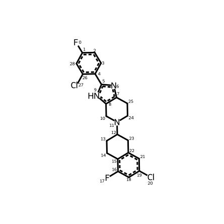 Fc1ccc(-c2nc3c([nH]2)CN(C2CCc4c(F)cc(Cl)cc4C2)CC3)c(Cl)c1